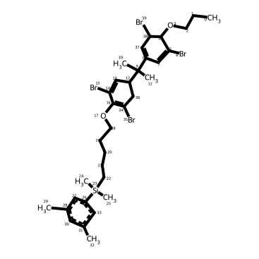 CCCOC1C(Br)=CC(C(C)(C)C2C=C(Br)C(OCCCCC[Si](C)(C)c3cc(C)cc(C)c3)=C(Br)C2)=CC1Br